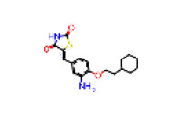 Nc1cc(/C=C2\SC(=O)NC2=O)ccc1OCCC1CCCCC1